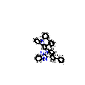 c1ccc(-c2ccc(-c3nc4ccccc4nc3-n3c4ccccc4c4c5c6c(cc43)c3ccccc3n6-c3ccccc3-c3ccccc3-5)cc2)cc1